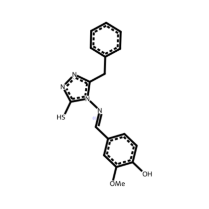 COc1cc(/C=N/n2c(S)nnc2Cc2ccccc2)ccc1O